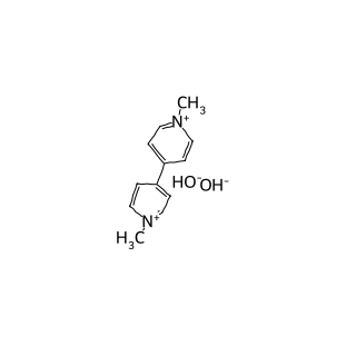 C[n+]1ccc(-c2cc[n+](C)cc2)cc1.[OH-].[OH-]